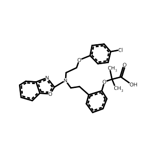 CC(C)(Oc1ccccc1CCN(CCOc1ccc(Cl)cc1)c1nc2ccccc2o1)C(=O)O